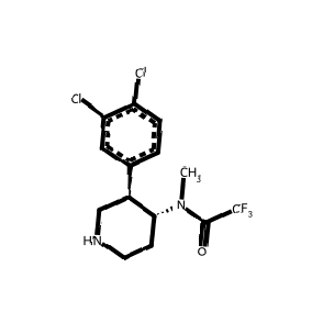 CN(C(=O)C(F)(F)F)[C@@H]1CCNC[C@H]1c1ccc(Cl)c(Cl)c1